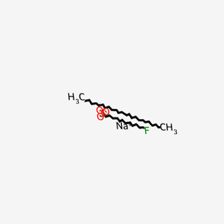 CCCCCCCCCCCCCCCCCCCCCCCCC.O=S(=O)([O-])CCCCCCCCCCCCF.[Na+]